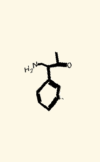 CC(=O)C(N)c1c[c]ccc1